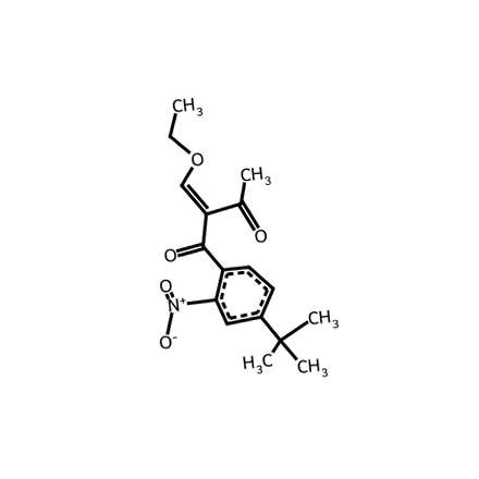 CCOC=C(C(C)=O)C(=O)c1ccc(C(C)(C)C)cc1[N+](=O)[O-]